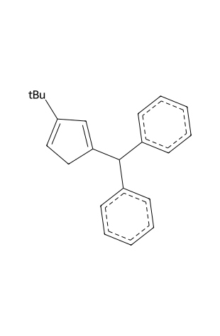 CC(C)(C)C1=CCC(C(c2ccccc2)c2ccccc2)=C1